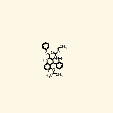 CCOC(=O)OC1=C(CSc2ccccc2)Nc2ccnc(OC(C)C)c2C1c1ccccc1C(F)(F)F